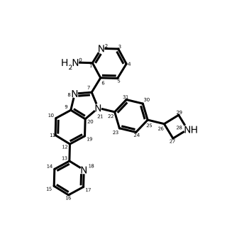 Nc1ncccc1-c1nc2ccc(-c3ccccn3)cc2n1-c1ccc(C2CNC2)cc1